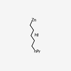 CCCCCCC[CH2][Zn].I